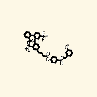 COc1cccc(COC(=O)c2ccc(OC(=O)CCCc3ccc(NC(=O)c4ccccc4-c4ccc(C(F)(F)F)cc4)c(C(=O)N(C)C)c3)cc2)c1